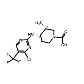 C[C@@H]1CN(C(=O)O)CC[C@@H]1Nc1ncc(C(F)(F)F)c(Cl)n1